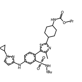 Cc1nc(C2CCC(NC(=O)OC(C)C)CC2)sc1-c1ccc(Nc2ccn(C3CC3)n2)cc1S(=O)(=O)NC(C)(C)C